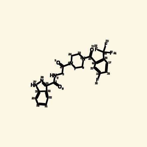 O=C(NCC(=O)N1CCN(C(=O)c2cc(F)ccc2C(F)(F)F)CC1)c1n[nH]c2ccccc12